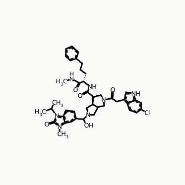 CNC(=O)[C@H](CCCc1ccccc1)NC(=O)C1CN(C(=O)Cc2c[nH]c3cc(Cl)ccc23)CC2CN(C(O)c3ccc4c(c3)n(C)c(=O)n4C(C)C)CC21